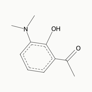 CC(=O)c1cccc(N(C)C)c1O